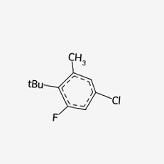 Cc1cc(Cl)cc(F)c1C(C)(C)C